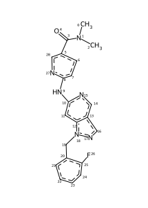 CN(C)C(=O)c1ccc(Nc2cc3c(cn2)cnn3Cc2ccccc2F)nc1